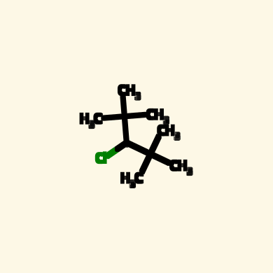 CC(C)(C)[C](Cl)C(C)(C)C